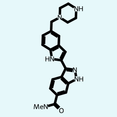 CNC(=O)c1ccc2c(-c3cc4cc(CN5CCNCC5)ccc4[nH]3)n[nH]c2c1